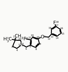 CC1(C)CCN(Cc2ccc(OCc3cccc(F)c3)cc2F)C1